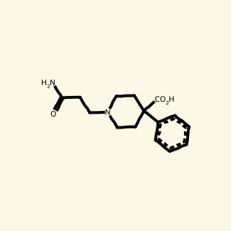 NC(=O)CCN1CCC(C(=O)O)(c2ccccc2)CC1